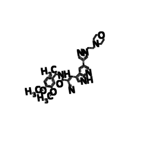 COc1ccc([C@@H](C)NC(=O)/C(C#N)=C/c2c[nH]c3ncc(-c4cnn(CCN5CCOCC5)c4)cc23)cc1OC